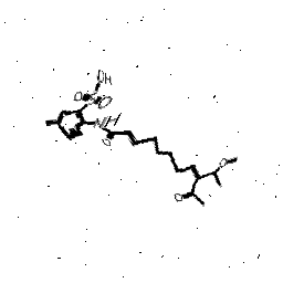 COC(C)C(CCCCCCCC(=O)Nc1ccc(C)cc1S(=O)(=O)O)C(C)=O